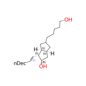 CCCCCCCCCC/C=C/[C@@H]1[C@H]2CC(CCCCCO)C[C@H]2C[C@H]1O